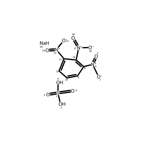 O=S(=O)(O)O.O=[N+]([O-])c1cccc([N+](=O)[O-])c1[N+](=O)[O-].[NaH]